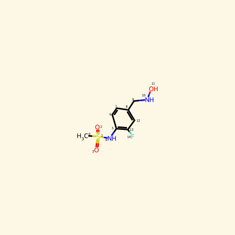 CS(=O)(=O)Nc1ccc(CNO)cc1F